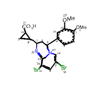 COc1ccc(C2CC(C3CC3C(=O)O)N=C3C(Br)=CC(Br)=CN32)cc1OC